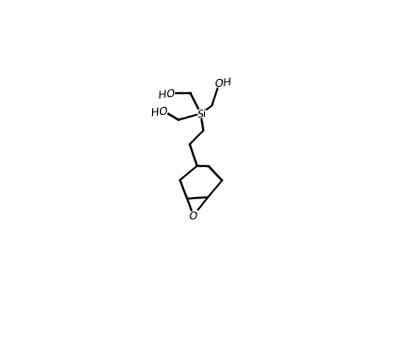 OC[Si](CO)(CO)CCC1CCC2OC2C1